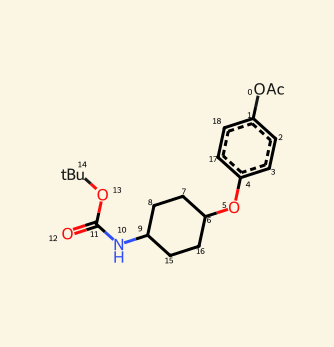 CC(=O)Oc1ccc(OC2CCC(NC(=O)OC(C)(C)C)CC2)cc1